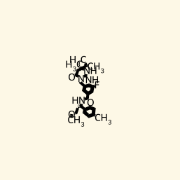 COCC[C@H](NC(=O)c1cc(F)cc(CN2C(=N)N[C@](C)(C(C)C)CC2=O)c1)c1ccc(C)cc1